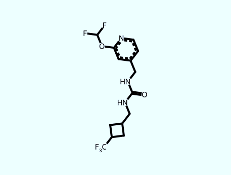 O=C(NCc1ccnc(OC(F)F)c1)NCC1CC(C(F)(F)F)C1